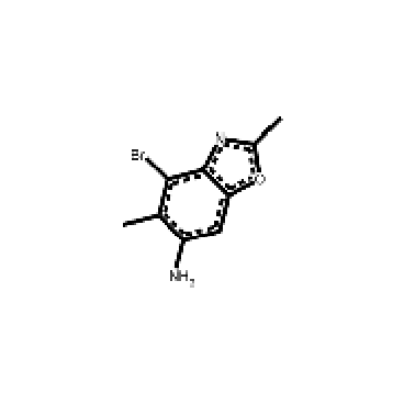 Cc1nc2c(Br)c(C)c(N)cc2o1